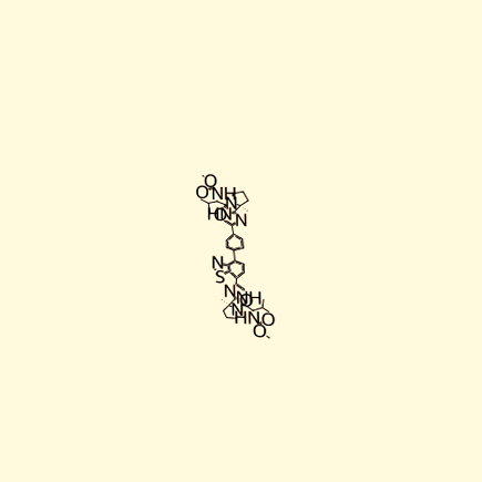 COC(=O)N[C@H](C(=O)N1CCC[C@@]1(C)c1nc(-c2ccc(-c3ccc(-c4c[nH]c([C@]5(C)CCCN5C(=O)[C@@H](NC(=O)OC)C(C)C)n4)c4scnc34)cc2)c[nH]1)C(C)C